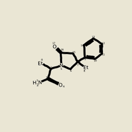 CCC(C(N)=O)N1CC(CC)(c2ccccc2)CC1=O